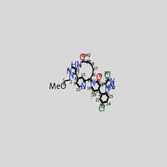 COCCn1ncc2c1-c1ccnc(c1)[C@@H](n1cc(F)c(-c3cc(Cl)ccc3-n3cc(Cl)nn3)cc1=O)CCC[C@@H](C)C(=O)N2